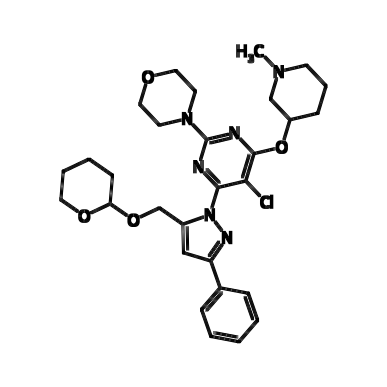 CN1CCCC(Oc2nc(N3CCOCC3)nc(-n3nc(-c4ccccc4)cc3COC3CCCCO3)c2Cl)C1